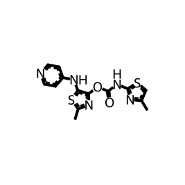 Cc1csc(NC(=O)Oc2nc(C)sc2Nc2ccncc2)n1